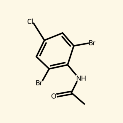 CC(=O)Nc1c(Br)cc(Cl)cc1Br